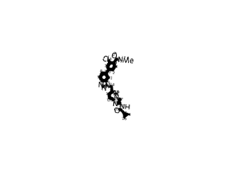 CNC(=O)c1ccc(-c2ccc3nnn(Cc4ccc5nc(NC(=O)C6CC6)cn5n4)c3c2)cc1Cl